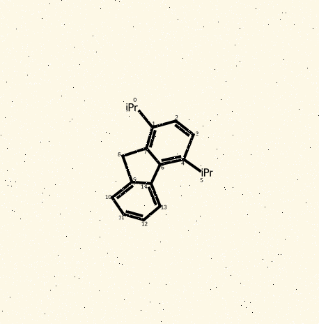 CC(C)c1ccc(C(C)C)c2c1[CH]c1ccccc1-2